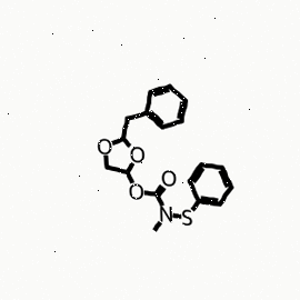 CN(Sc1ccccc1)C(=O)OC1COC(Cc2ccccc2)O1